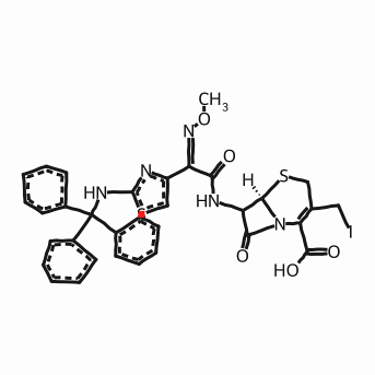 CO/N=C(\C(=O)NC1C(=O)N2C(C(=O)O)=C(CI)CS[C@H]12)c1csc(NC(c2ccccc2)(c2ccccc2)c2ccccc2)n1